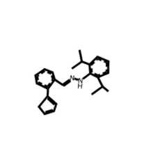 CC(C)c1cccc(C(C)C)c1NN=Cc1ccccc1C1=CC=CC1